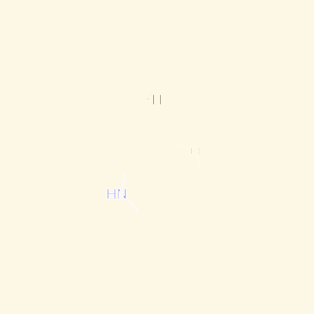 [2H]C1CNCC=CO1